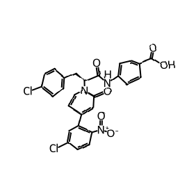 O=C(O)c1ccc(NC(=O)[C@H](Cc2ccc(Cl)cc2)n2ccc(-c3cc(Cl)ccc3[N+](=O)[O-])cc2=O)cc1